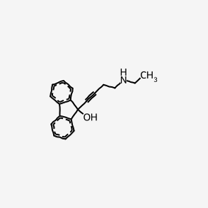 CCNCCC#CC1(O)c2ccccc2-c2ccccc21